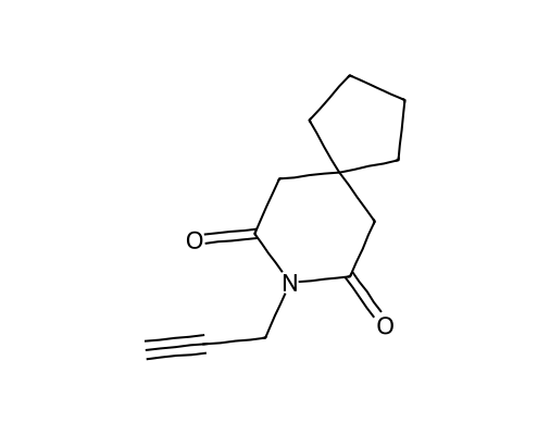 C#CCN1C(=O)CC2(CCCC2)CC1=O